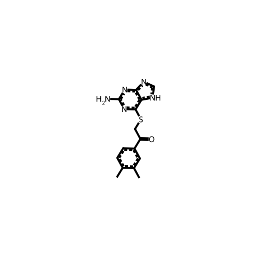 Cc1ccc(C(=O)CSc2nc(N)nc3nc[nH]c23)cc1C